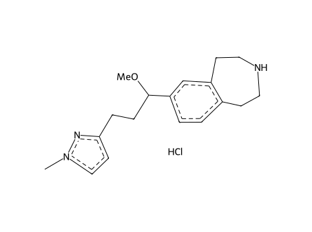 COC(CCc1ccn(C)n1)c1ccc2c(c1)CCNCC2.Cl